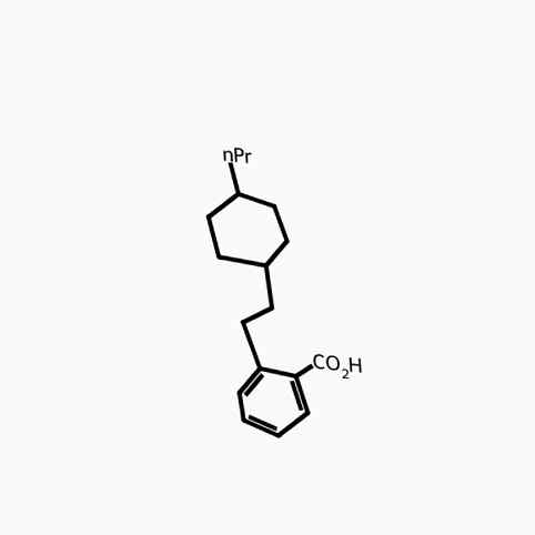 CCCC1CCC(CCc2ccccc2C(=O)O)CC1